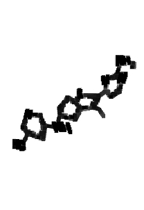 Cc1c(-c2ccnc(N)n2)sc2ccc(Nc3cncc(O)c3)cc12